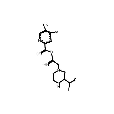 Cc1cc(C(=N)OC(=N)CN2CCNC(C(F)F)C2)ncc1C#N